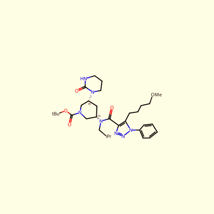 COCCCCc1c(C(=O)N(CC(C)C)[C@H]2C[C@@H](N3CCCNC3=O)CN(C(=O)OC(C)(C)C)C2)nnn1-c1ccccc1